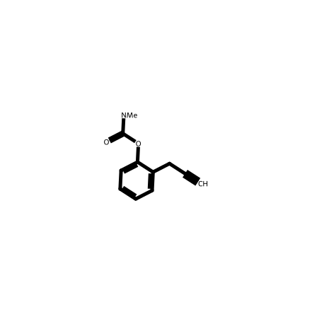 C#CCc1ccccc1OC(=O)NC